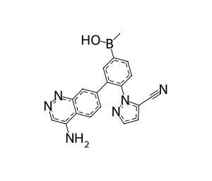 CB(O)c1ccc(-n2nccc2C#N)c(-c2ccc3c(N)cnnc3c2)c1